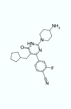 N#Cc1ccc(-c2nc(N3CCC(N)CC3)[nH]c(=O)c2CC2CCCC2)cc1F